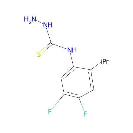 CC(C)c1cc(F)c(F)cc1NC(=S)NN